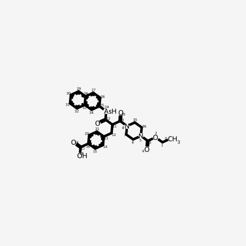 CCOC(=O)N1CCN(C(=O)C(Cc2ccc(C(=O)O)cc2)C(=O)[AsH]c2ccc3ccccc3c2)CC1